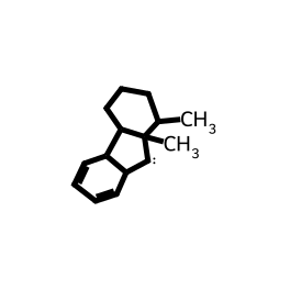 CC1CCCC2C3C=CC=CC3[C]C12C